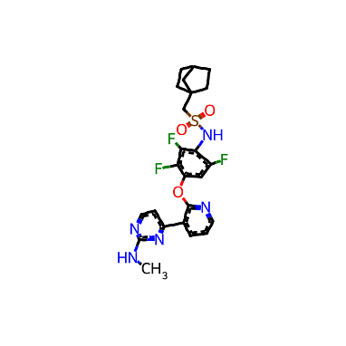 CNc1nccc(-c2cccnc2Oc2cc(F)c(NS(=O)(=O)CC34CCC(CC3)C4)c(F)c2F)n1